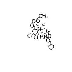 CCOC(=O)c1cn(-c2cc(NC(=O)OCc3ccccc3)c(F)cc2F)c2c(Cl)c(Cl)c(Cl)cc2c1=O